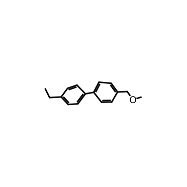 CCc1ccc(-c2ccc(COC)cc2)cc1